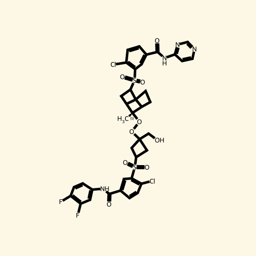 C[C@]1(OOC2(CO)CC(S(=O)(=O)c3cc(C(=O)Nc4ccc(F)c(F)c4)ccc3Cl)C2)C2CCC23C1CC3S(=O)(=O)c1cc(C(=O)Nc2ccncn2)ccc1Cl